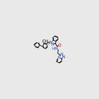 Cc1c(Cn2nc(C(=O)NCCc3nnc4ccccn34)c3ccccc32)cccc1-c1ccccc1